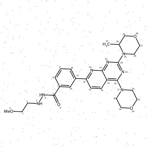 COCCNNC(=O)c1cccc(-c2ccc3c(N4CCOCC4)nc(N4CCOCC4C)nc3n2)c1